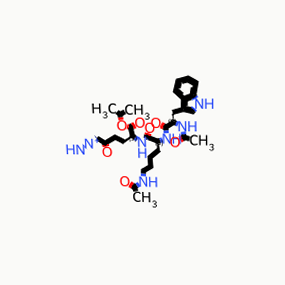 CC(=O)NCCCC[C@H](NC(=O)[C@H](Cc1c[nH]c2ccccc12)NC(C)=O)C(=O)N[C@@H](CCC(=O)C=[N+]=N)C(=O)OC(C)C